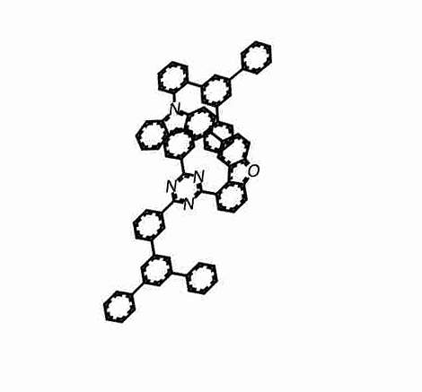 c1ccc(-c2cc(-c3ccccc3)cc(-c3cccc(-c4nc(-c5ccccc5)nc(-c5cccc6oc7ccc(-c8ccc9c(c8)c8ccccc8n9-c8ccccc8-c8cc(-c9ccccc9)cc(-c9ccccc9)c8)cc7c56)n4)c3)c2)cc1